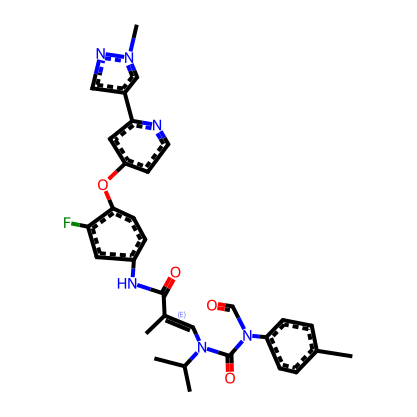 C/C(=C\N(C(=O)N(C=O)c1ccc(C)cc1)C(C)C)C(=O)Nc1ccc(Oc2ccnc(-c3cnn(C)c3)c2)c(F)c1